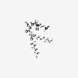 [CH2]C(COC(=O)CCC(OCCCCCCCC)OCCCCCCCC)COC(=O)NCCCN(C)C